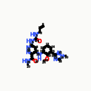 C=CCNC(=O)Nc1cc(Nc2cccc(-c3ncn(C)n3)c2OC)c(C(=O)NC)nn1